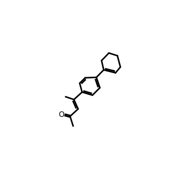 CC(=O)C=C(C)c1ccc(C2=CCCCC2)cc1